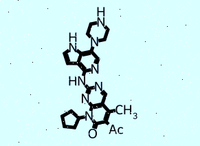 CC(=O)c1c(C)c2cnc(Nc3ncc(N4CCNCC4)c4[nH]ccc34)nc2n(C2CCCC2)c1=O